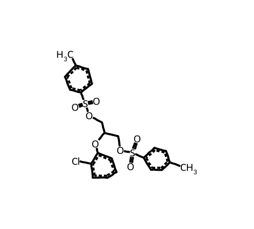 Cc1ccc(S(=O)(=O)OCC(COS(=O)(=O)c2ccc(C)cc2)Oc2ccccc2Cl)cc1